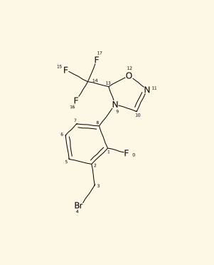 Fc1c(CBr)cccc1N1C=NOC1C(F)(F)F